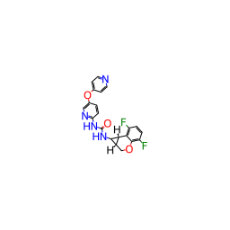 O=C(Nc1ccc(Oc2ccncc2)cn1)NC1[C@H]2COc3c(F)ccc(F)c3[C@@H]12